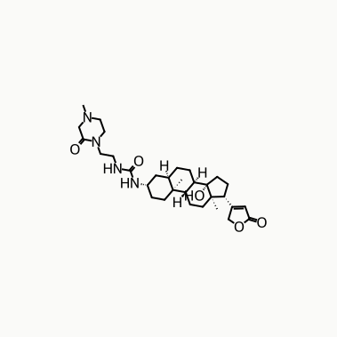 CN1CCN(CCNC(=O)N[C@H]2CC[C@@]3(C)[C@H](CC[C@@H]4[C@@H]3CC[C@]3(C)[C@@H](C5=CC(=O)OC5)CC[C@]43O)C2)C(=O)C1